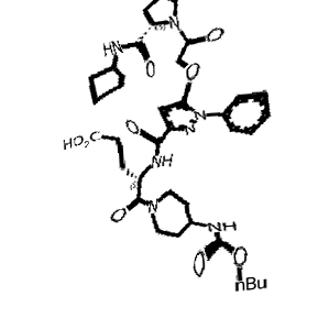 CCCCOC(=O)NC1CCN(C(=O)[C@H](CCC(=O)O)NC(=O)c2cc(OCC(=O)N3CCC[C@H]3C(=O)NC3CCC3)n(-c3ccccc3)n2)CC1